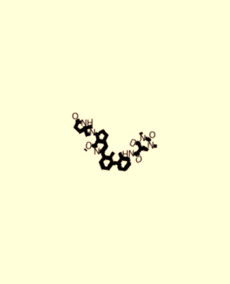 COc1nc(-c2cccc(-c3cccc(NC(=O)c4cn(C)c(=O)n(C)c4=O)c3C)c2C)cc2c1C(N1CC3(CCC(=O)N3)C1)CC2